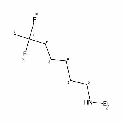 CCNCCCCCC(C)(F)F